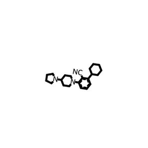 N#Cc1c(C2CCCCC2)cccc1N1CCC(N2CCCC2)CC1